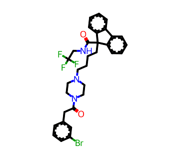 O=C(Cc1cccc(Br)c1)N1CCN(CCCCC2(C(=O)NCC(F)(F)F)c3ccccc3-c3ccccc32)CC1